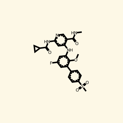 CNC(=O)c1cnc(NC(=O)C2CC2)cc1Nc1cc(F)cc(-c2ccc(S(C)(=O)=O)cc2)c1OC